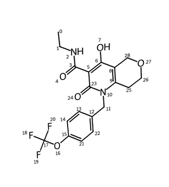 CCNC(=O)c1c(O)c2c(n(Cc3ccc(OC(F)(F)F)cc3)c1=O)CCOC2